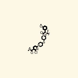 COc1cccc([C@@H](C(=O)N2CCC(SC3CCN(c4ccc(C(=O)N(C)C)c(Cl)n4)CC3)CC2)C(F)(F)F)c1